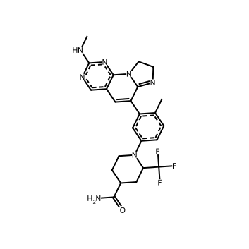 CNc1ncc2c(n1)N1CCN=C1C(c1cc(N3CCC(C(N)=O)CC3C(F)(F)F)ccc1C)=C2